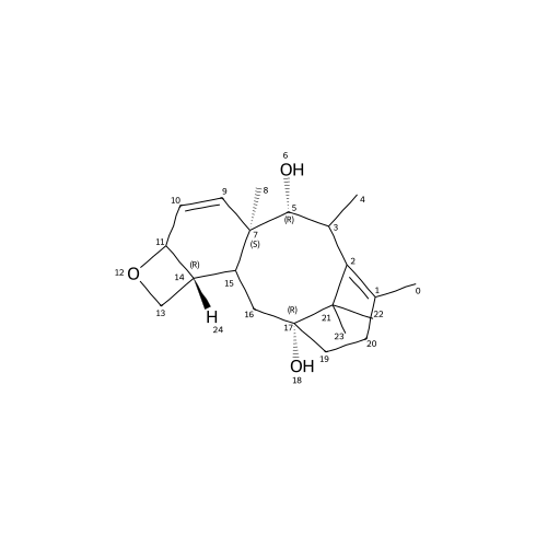 CC1=C2C(C)[C@@H](O)[C@]3(C)C=CC4OC[C@H]4C3C[C@](O)(CC1)C2(C)C